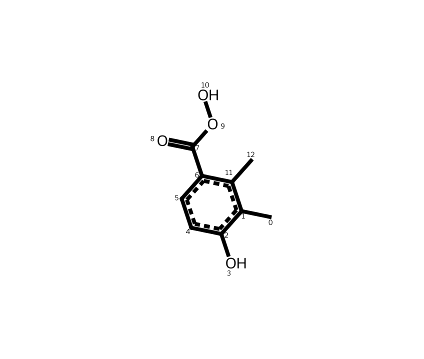 Cc1c(O)ccc(C(=O)OO)c1C